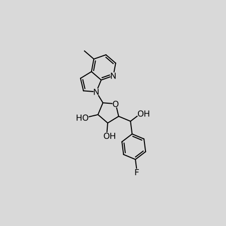 Cc1ccnc2c1ccn2C1OC(C(O)c2ccc(F)cc2)C(O)C1O